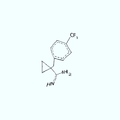 N=C(N)C1(c2ccc(C(F)(F)F)cc2)CC1